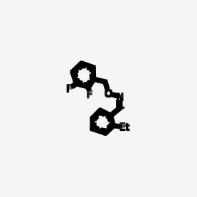 CCc1ccccc1/[C]=N\OCc1cccc(F)c1F